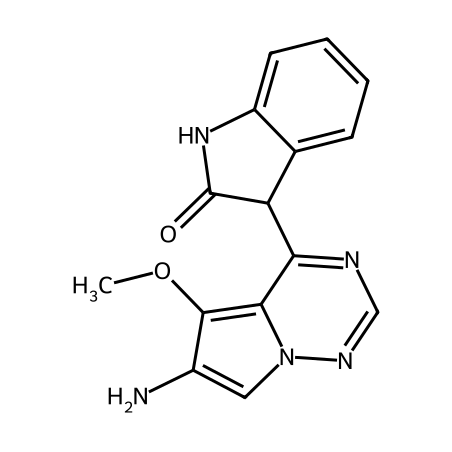 COc1c(N)cn2ncnc(C3C(=O)Nc4ccccc43)c12